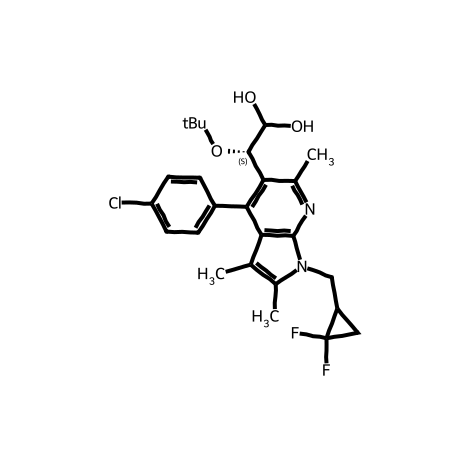 Cc1nc2c(c(C)c(C)n2CC2CC2(F)F)c(-c2ccc(Cl)cc2)c1[C@H](OC(C)(C)C)C(O)O